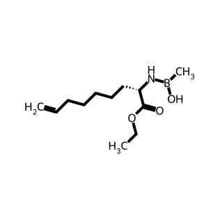 C=CCCCCC[C@H](NB(C)O)C(=O)OCC